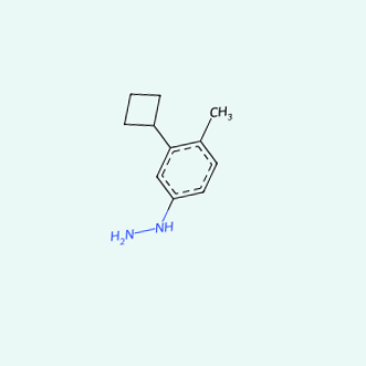 Cc1ccc(NN)cc1C1CCC1